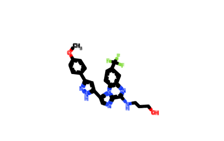 COc1ccc(-c2cc(-c3cnc4c(NCCCO)nc5cc(C(F)(F)F)ccc5n34)[nH]n2)cc1